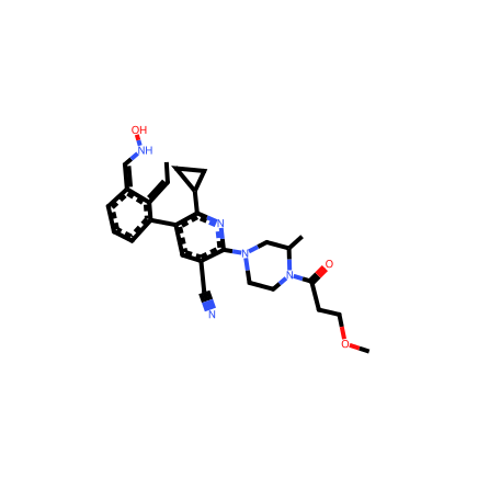 C/C=c1/c(-c2cc(C#N)c(N3CCN(C(=O)CCOC)C(C)C3)nc2C2CC2)ccc/c1=C/NO